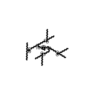 CCCCCCCCC(CCCCCC)C(=O)OCCCCCCN(CCCCCCOC(=O)C(CCCCCC)CCCCCCCC)CCNC(=O)CC(C)C(=O)NCCN(CCCCCCOC(=O)C(CCCCCC)CCCCCCCC)CCCCCCOC(=O)C(CCCCCC)CCCCCCCC